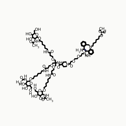 CO[P+](=O)OCCCCCCN1Cc2ccccc2/C(N)=C(/N([NH-])CCOCCOCC(=O)N2CCC(C(=O)NC(COCCC(=O)NCCCCCCOC3OC(CO)C(O)C(O)C3NC(C)=O)(COCCC(=O)NCCCCCCOC3OC(CO)C(O)C(O)C3NC(C)=O)COCCC(=O)NCCCCCCOC3OC(CO)C(O)C(O)C3NC(C)=O)CC2)c2ccccc21